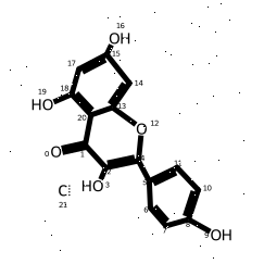 O=c1c(O)c(-c2ccc(O)cc2)oc2cc(O)cc(O)c12.[C]